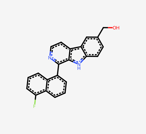 OCc1ccc2[nH]c3c(-c4cccc5c(F)cccc45)nccc3c2c1